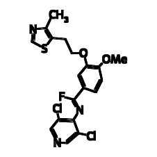 COc1ccc(/C(F)=N/c2c(Cl)cncc2Cl)cc1OCCc1scnc1C